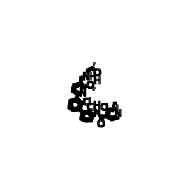 COc1nc(-c2cccc(-c3cccc(NC(=O)c4ccnn(C)c4=O)c3Cl)c2Cl)ccc1CNC[C@H](C)O